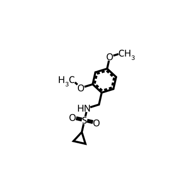 COc1ccc(CNS(=O)(=O)C2CC2)c(OC)c1